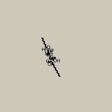 C#CC1(CO)O[C@@H](n2cnc3c(NC(=O)CCCCCCC)nc(F)nc32)C[C@H]1C(CCCCCCCCCCC)C(=O)O